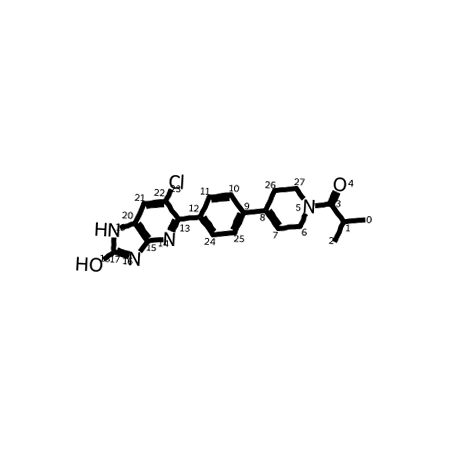 CC(C)C(=O)N1CC=C(c2ccc(-c3nc4nc(O)[nH]c4cc3Cl)cc2)CC1